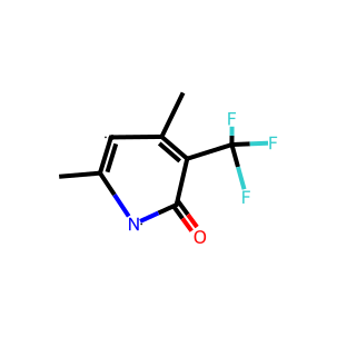 CC1=[C]C(C)=C(C(F)(F)F)C(=O)[N]1